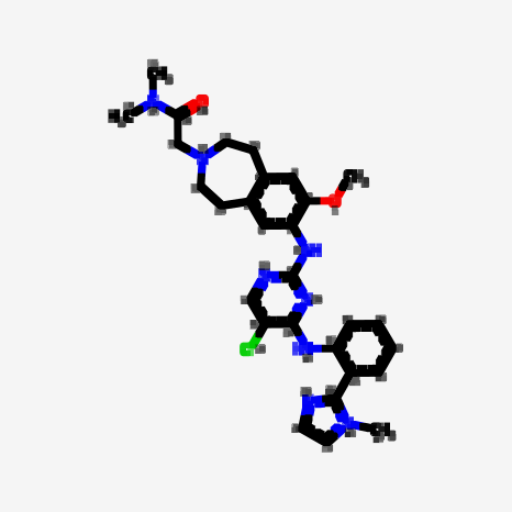 COc1cc2c(cc1Nc1ncc(Cl)c(Nc3ccccc3-c3nccn3C)n1)CCN(CC(=O)N(C)C)CC2